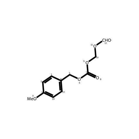 COc1ccc(COC(=O)OCO[C]=O)cc1